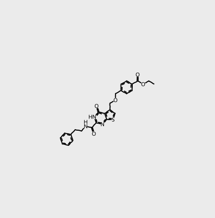 CCOC(=O)c1ccc(COCc2csc3nc(C(=O)NCCc4ccccc4)[nH]c(=O)c23)cc1